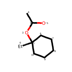 CCC1(OC(C)[O])CCCCC1